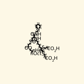 CCCCCCCCC(CCCCCC)COC(=O)CCSCCC(NC(=O)CCCCC(CCSCCC(=O)O)SCCC(=O)O)C(=O)NCCN1CCCCC1